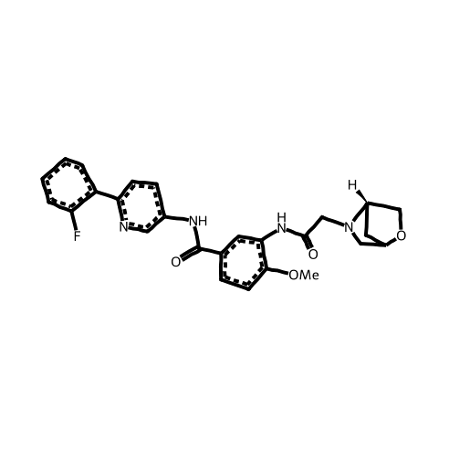 COc1ccc(C(=O)Nc2ccc(-c3ccccc3F)nc2)cc1NC(=O)CN1CC2C[C@H]1CO2